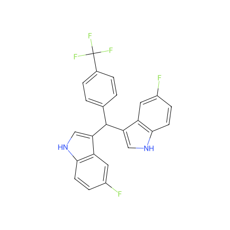 Fc1ccc2[nH]cc(C(c3ccc(C(F)(F)F)cc3)c3c[nH]c4ccc(F)cc34)c2c1